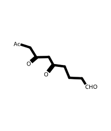 CC(=O)CC(=O)CC(=O)CCCC=O